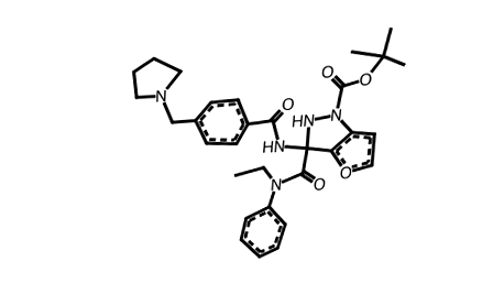 CCN(C(=O)C1(NC(=O)c2ccc(CN3CCCC3)cc2)NN(C(=O)OC(C)(C)C)c2ccoc21)c1ccccc1